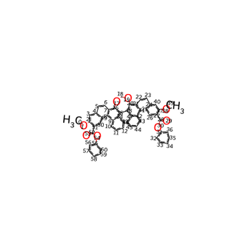 COc1cc(/C=C\c2cc3ccccc3c3c2OCOc2c(/C=C\c4ccc(C(=O)Oc5ccccc5)c(OC)c4)cc4ccccc4c2-3)ccc1C(=O)Oc1ccccc1